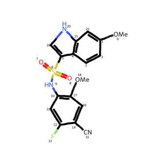 COc1ccc2c(S(=O)(=O)Nc3cc(F)c(C#N)cc3OC)c[nH]c2c1